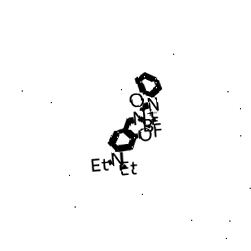 CCN(CC)c1ccc2c(c1)O[B-](F)(F)[N+](c1nc3ccccc3o1)=C2